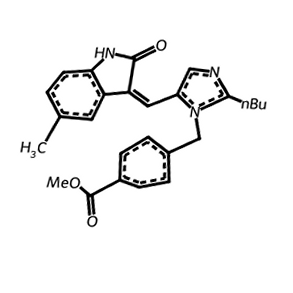 CCCCc1ncc(C=C2C(=O)Nc3ccc(C)cc32)n1Cc1ccc(C(=O)OC)cc1